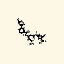 Cc1nc(-c2cccc(C(=O)NC(CCN(C)C)CC(=O)Nc3nc(C)c(C(=O)O)s3)c2)no1